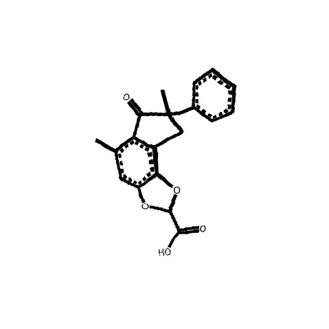 Cc1cc2c(c3c1C(=O)C(C)(c1ccccc1)C3)OC(C(=O)O)O2